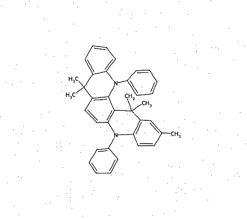 Cc1ccc2c(c1)C(C)(C)c1c(ccc3c1N(c1ccccc1)c1ccccc1C3(C)C)N2c1ccccc1